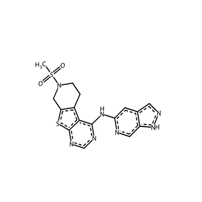 CS(=O)(=O)N1CCc2c(sc3ncnc(Nc4cc5cn[nH]c5cn4)c23)C1